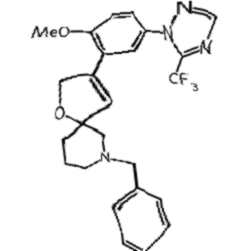 COc1ccc(-n2ncnc2C(F)(F)F)cc1C1=CC2(CCCN(Cc3ccccc3)C2)OC1